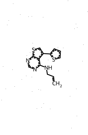 C=CCNc1ncnc2scc(-c3cccs3)c12